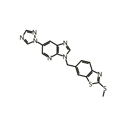 CSc1nc2ccc(Cn3cnc4cc(-n5cncn5)cnc43)cc2s1